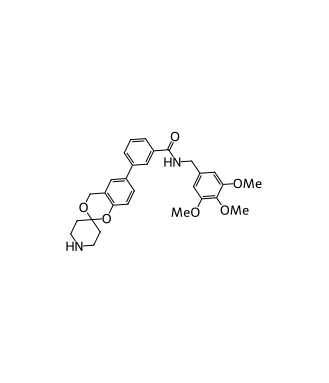 COc1cc(CNC(=O)c2cccc(-c3ccc4c(c3)COC3(CCNCC3)O4)c2)cc(OC)c1OC